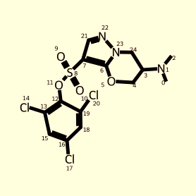 CN(C)C1COc2c(S(=O)(=O)Oc3c(Cl)cc(Cl)cc3Cl)cnn2C1